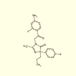 CCCC1(c2ccc(F)cc2)N=C(C)N(CC(=O)c2ccc(N)cc2F)C1=O